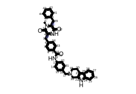 Cn1c(=O)/c(=C/c2ccc(C(=O)Nc3ccc(CN4CCc5c([nH]c6ccccc56)C4)cc3)cc2)[nH]c(=O)/c1=C/c1ccccc1